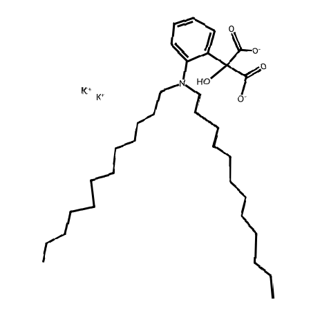 CCCCCCCCCCCCN(CCCCCCCCCCCC)c1ccccc1C(O)(C(=O)[O-])C(=O)[O-].[K+].[K+]